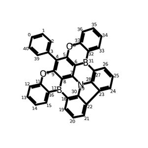 c1ccc(-c2c3c4c5c6c2Oc2ccccc2B6c2cccc6c7cccc(c7n-5c26)B4c2ccccc2O3)cc1